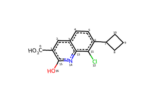 O=C(O)c1cc2ccc(C3CCC3)c(Cl)c2nc1O